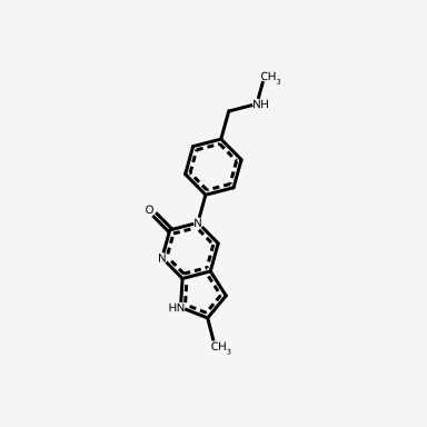 CNCc1ccc(-n2cc3cc(C)[nH]c3nc2=O)cc1